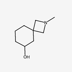 CN1CC2(CCCC(O)C2)C1